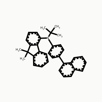 CC1(C)c2ccccc2-c2c(N(c3ccc(-c4cccc5ccccc45)cc3)C(C)(C)C)cccc21